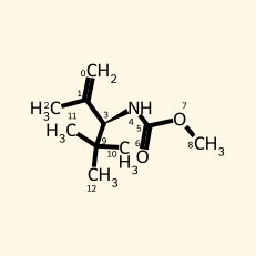 C=C(C)[C@@H](NC(=O)OC)C(C)(C)C